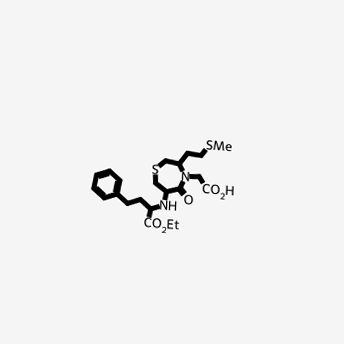 CCOC(=O)C(CCc1ccccc1)NC1CSCC(CCSC)N(CC(=O)O)C1=O